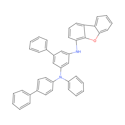 c1ccc(-c2ccc(N(c3ccccc3)c3cc(Nc4cccc5c4oc4ccccc45)cc(-c4ccccc4)c3)cc2)cc1